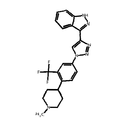 CN1CCC(c2ccc(-n3cc(-c4n[nH]c5ccccc45)nn3)cc2C(F)(F)F)CC1